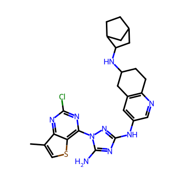 Cc1csc2c(-n3nc(Nc4cnc5c(c4)CC(NC4CC6CCC4C6)CC5)nc3N)nc(Cl)nc12